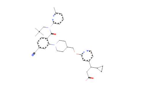 Cc1cccc(N(CC(C)(C)C)C(=O)c2ccc(C#N)cc2N2CCC(COc3cc(C(CC(=O)O)C4CC4)ccn3)CC2)n1